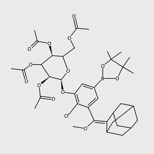 COC(=C1C2CC3CC(C2)CC1C3)c1cc(B2OC(C)(C)C(C)(C)O2)cc(O[C@@H]2OC(COC(C)=O)[C@H](OC(C)=O)C(OC(C)=O)[C@@H]2OC(C)=O)c1Cl